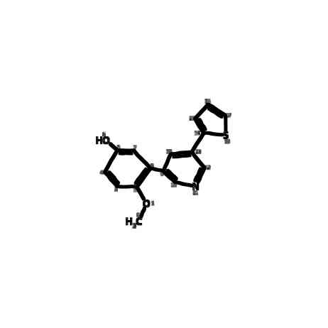 COc1ccc(O)cc1-c1cncc(-c2cccs2)c1